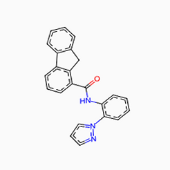 O=C(Nc1ccccc1-n1cccn1)c1cccc2c1Cc1ccccc1-2